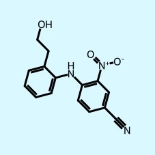 N#Cc1ccc(Nc2ccccc2CCO)c([N+](=O)[O-])c1